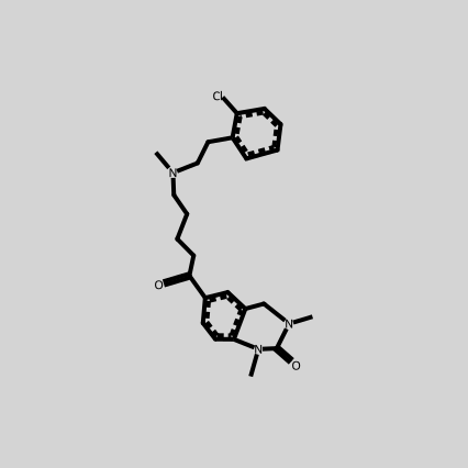 CN(CCCCC(=O)c1ccc2c(c1)CN(C)C(=O)N2C)CCc1ccccc1Cl